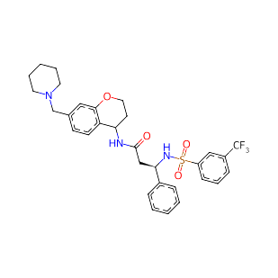 O=C(C[C@@H](NS(=O)(=O)c1cccc(C(F)(F)F)c1)c1ccccc1)NC1CCOc2cc(CN3CCCCC3)ccc21